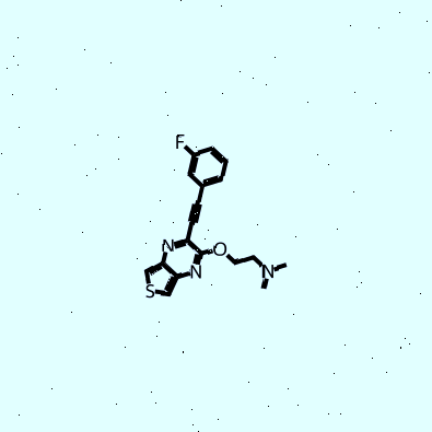 CN(C)CCOc1nc2cscc2nc1C#Cc1cccc(F)c1